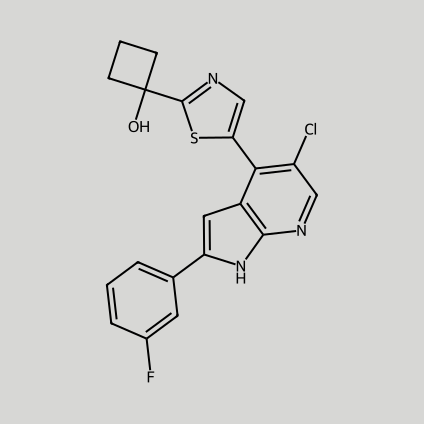 OC1(c2ncc(-c3c(Cl)cnc4[nH]c(-c5cccc(F)c5)cc34)s2)CCC1